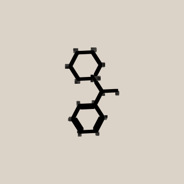 CC(c1cc[c]cc1)N1CCCCC1